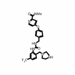 CNC(=O)c1cc(Oc2ccc(CNC(=O)Nc3cc(C(F)(F)F)ccc3CN3CCNCC3)cc2)ccn1